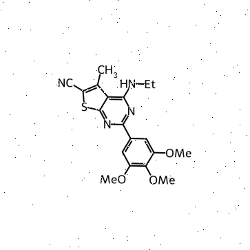 CCNc1nc(-c2cc(OC)c(OC)c(OC)c2)nc2sc(C#N)c(C)c12